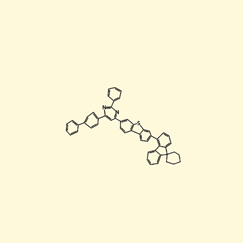 c1ccc(-c2ccc(-c3cc(-c4ccc5c(c4)sc4cc(-c6cccc7c6-c6ccccc6C76CCCCC6)ccc45)nc(-c4ccccc4)n3)cc2)cc1